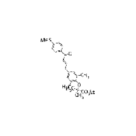 CCOC(=O)C(C)(C)Oc1c(C)cc(C/C=C/C(=O)c2ccc(SC)cc2)cc1C